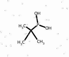 CC(C)(C)P(O)O